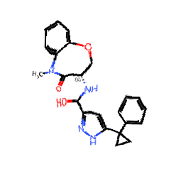 CN1C(=O)[C@@H](NC(O)c2cc(C3(c4ccccc4)CC3)[nH]n2)COc2ccccc21